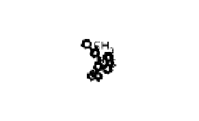 CC1CC(N(c2ccc(C34CC5CCC3CC(C5)C4)cc2)c2cccc3sc4c(c23)=CCCC=4)=CC=C1C1CCCCC1